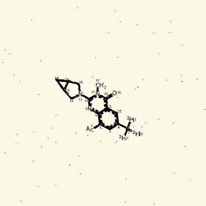 [2H]C([2H])([2H])c1cc(C(C)=O)c2nc(N3CC4CC4C3)n(C)c(=O)c2c1